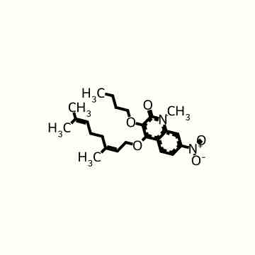 CCCCOc1c(OCC=C(C)CCC=C(C)C)c2ccc([N+](=O)[O-])cc2n(C)c1=O